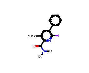 CCCCCCc1cc(-c2ccccc2)c(I)nc1C(=O)N(CC)CC